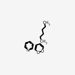 C1=COOC=C1.CCCCCC.c1ccncc1